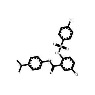 CC(C)c1ccc(NC(=O)c2cc(Cl)ccc2NS(=O)(=O)c2ccc(Cl)cc2)cc1